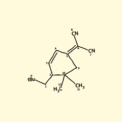 CC(C)(C)CC1C=CC(=C(C#N)C#N)CC1(C)C